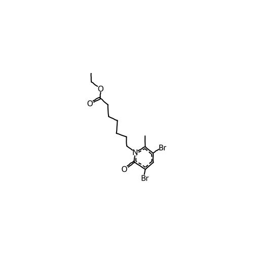 CCOC(=O)CCCCCCn1c(C)c(Br)cc(Br)c1=O